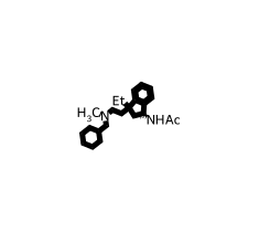 CCC1(CCN(C)CC2CCCCC2)C[C@H](NC(C)=O)c2ccccc21